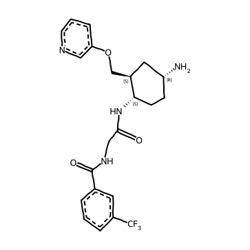 N[C@@H]1CC[C@H](NC(=O)CNC(=O)c2cccc(C(F)(F)F)c2)[C@@H](COc2cccnc2)C1